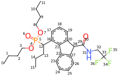 CCCCOP(=O)(OCCCC)C(CCC)c1cccc2c1-c1ccccc1C2C(=O)NCC(F)(F)F